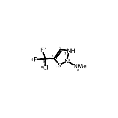 CNN1NC=C(C(F)(F)Cl)S1